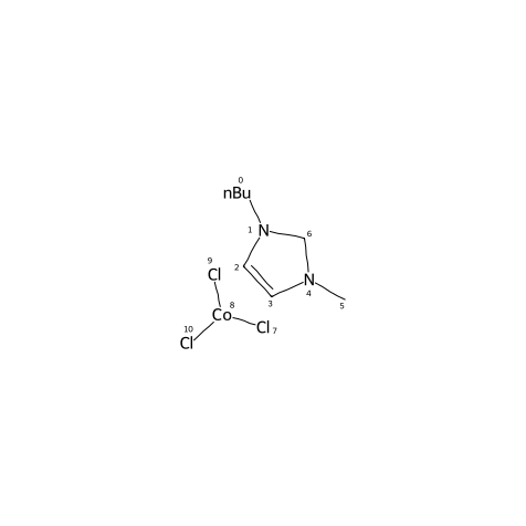 CCCCN1C=CN(C)C1.[Cl][Co]([Cl])[Cl]